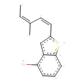 C/C=C(C)\C=C/c1cc2c(Br)cccc2s1